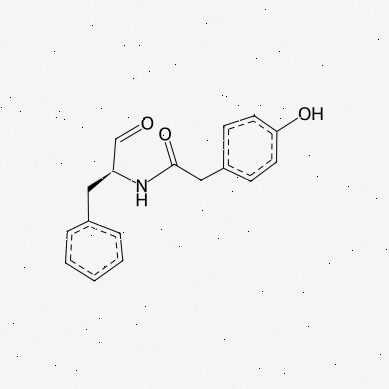 O=C[C@H](Cc1ccccc1)NC(=O)Cc1ccc(O)cc1